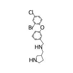 Clc1ccc(Oc2cccc(CNCC3CCNC3)c2)c(Br)c1